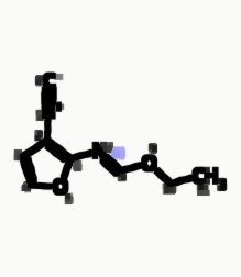 [C-]#[N+]c1ccoc1/N=C/OCC